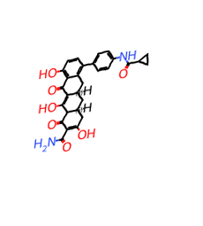 NC(=O)C1=C(O)C[C@@H]2C[C@@H]3Cc4c(-c5ccc(NC(=O)C6CC6)cc5)ccc(O)c4C(=O)C3=C(O)C2C1=O